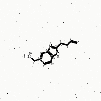 C=CCCc1nc2cc(CO)ccc2o1